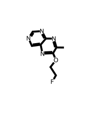 Cc1nc2ncncc2nc1OCCF